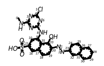 CNc1nc(Cl)nc(Nc2cc(S(=O)(=O)O)cc3ccc(N=Nc4ccc5ccccc5c4)c(O)c23)n1